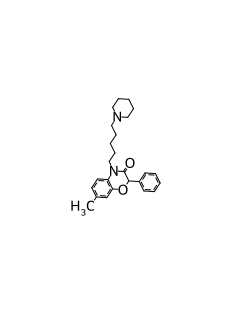 Cc1ccc2c(c1)OC(c1ccccc1)C(=O)N2CCCCCN1CCCCC1